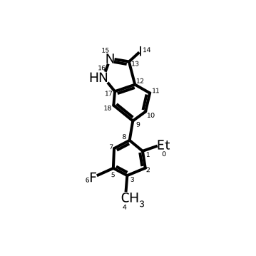 CCc1cc(C)c(F)cc1-c1ccc2c(I)n[nH]c2c1